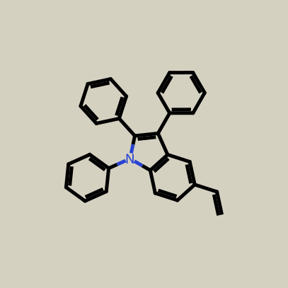 C=Cc1ccc2c(c1)c(-c1ccccc1)c(-c1ccccc1)n2-c1ccccc1